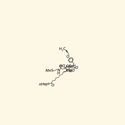 CC#CCOc1ccc(C[C@H](NC(=O)[C@@H](C=CCCCCCCC(=O)CCCCCCC)[C@@](O)(CC(=O)NCCSC)C(=O)O)C(=O)OC)cc1